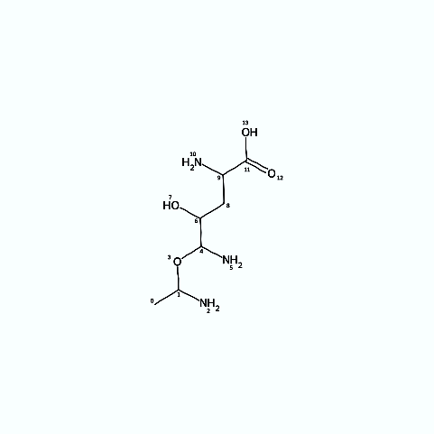 CC(N)OC(N)C(O)CC(N)C(=O)O